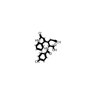 C#CCC(c1cc(=O)[nH]c2ccccc12)C(NC(=O)c1ccc(Cl)cc1)C(=O)O